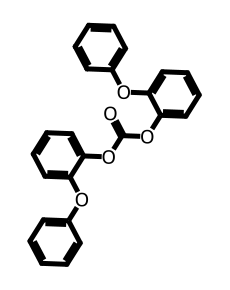 O=C(Oc1ccccc1Oc1ccccc1)Oc1ccccc1Oc1ccccc1